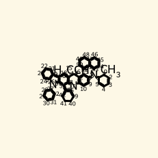 CC1C=CC=CC1N(c1ccc2c(c1)C(C)(C)c1cc3c4ccccc4n(-c4ccccc4)c3c3c4c(n-2c13)=CCCC=4)c1cccc2ccccc12